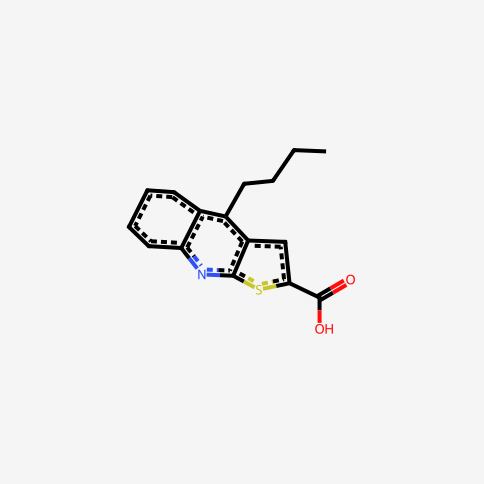 CCCCc1c2ccccc2nc2sc(C(=O)O)cc12